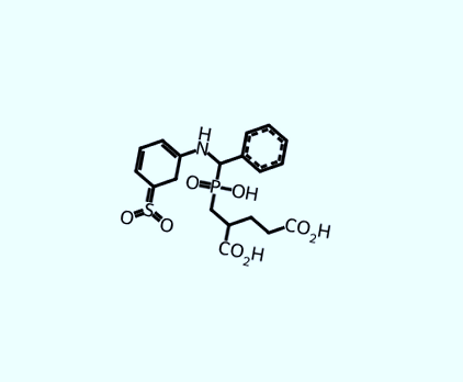 O=C(O)CCC(CP(=O)(O)C(NC1=CC=CC(=S(=O)=O)C1)c1ccccc1)C(=O)O